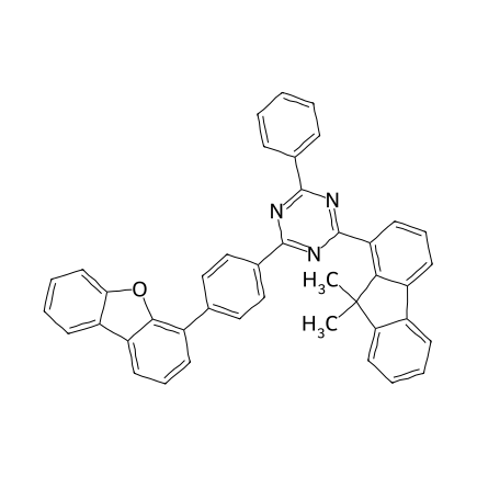 CC1(C)c2ccccc2-c2cccc(-c3nc(-c4ccccc4)nc(-c4ccc(-c5cccc6c5oc5ccccc56)cc4)n3)c21